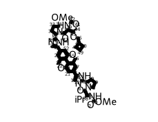 COC(=O)N[C@H](C(=O)N1CCC[C@H]1c1ncc(-c2cc3c4c(c2)OCc2cc(-c5cnc([C@@H]6CCCN6C(=O)[C@@H](NC(=O)OC)[C@@H](C)OCC6CCC6)[nH]5)cc(c2-4)OC3)[nH]1)C(C)C